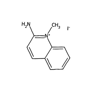 C[n+]1c(N)ccc2ccccc21.[I-]